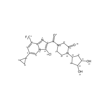 O=C(c1nc2c(C(F)(F)F)cc(C3CC3)cn2c1Cl)N1CCN(C2CC(O)C(O)C2)C(=O)C1